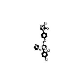 CCn1ncn(-c2ccc(OC[C@@H]3CO[C@@](Cn4ccnc4)(c4ccc(Cl)cc4Cl)O3)cc2)c1=O